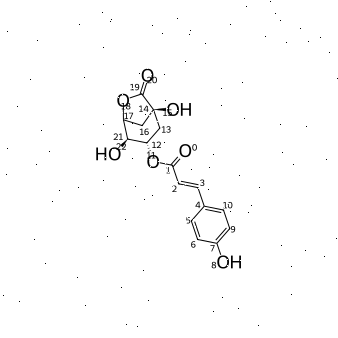 O=C(/C=C/c1ccc(O)cc1)O[C@H]1C[C@]2(O)CC(OC2=O)[C@@H]1O